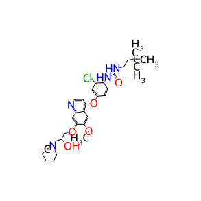 COc1cc2c(Oc3ccc(NC(=O)NCCC(C)(C)C)c(Cl)c3)ccnc2cc1OCC(O)CN1CCCCC1